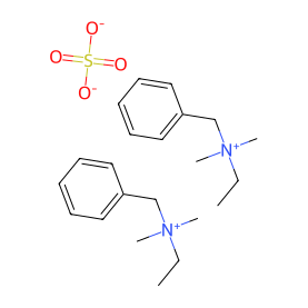 CC[N+](C)(C)Cc1ccccc1.CC[N+](C)(C)Cc1ccccc1.O=S(=O)([O-])[O-]